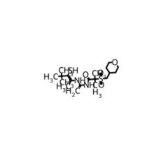 C=C(NC(=O)C(C)(C)S(=O)(=O)CC1CCOCC1)N/C(C)=C(\S)C(C)(C)C